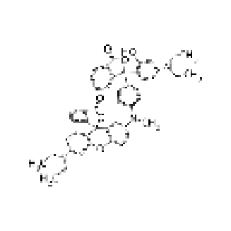 C=CN(CC)c1ccc2c(c1)Oc1ccc(N(C)c3ccc(C4(c5ccc(N(CC)CC)cc5O)OC(=O)c5ccccc54)cc3)cc1C21OC(=O)c2ccccc21